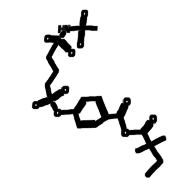 CCC(C)(C)C(=O)OC(=O)c1ccc(OS(=O)(=O)CCCS(=O)(=O)NS(C)(=O)=O)cc1